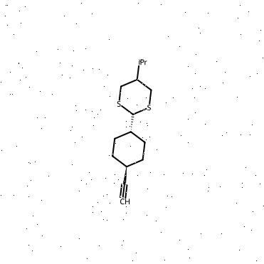 C#C[C@H]1CC[C@H](C2SCC(C(C)C)CS2)CC1